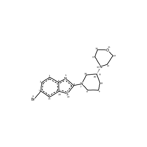 Brc1ccc2nc(N3CCC[C@@H](N4CCOCC4)C3)sc2c1